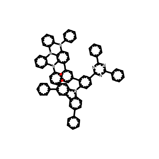 c1ccc(-c2ccc3c(c2)c2cc(-c4ccccc4)ccc2n3-c2ccc(-c3nc(-c4ccccc4)nc(-c4ccccc4)n3)cc2-c2cccc(-c3ccc4c5c3N(c3ccccc3)c3ccccc3B5c3ccccc3N4c3ccccc3)c2)cc1